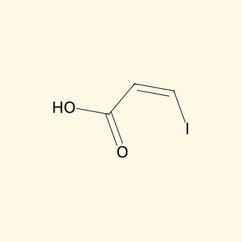 O=C(O)/C=C\I